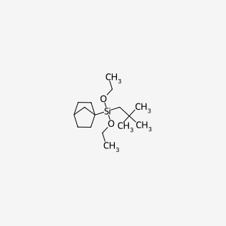 CCO[Si](CC(C)(C)C)(OCC)C12CCC(CC1)C2